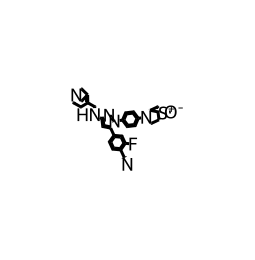 N#Cc1ccc(-c2cc(NCC3=C4CN(CC3)C4)nn2-c2ccc(N3CC4CC3C[S+]4[O-])cc2)cc1F